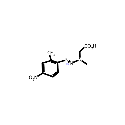 CN(CC(=O)O)/N=N/c1ccc([N+](=O)[O-])cc1C(F)(F)F